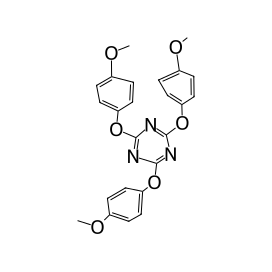 COc1ccc(Oc2nc(Oc3ccc(OC)cc3)nc(Oc3ccc(OC)cc3)n2)cc1